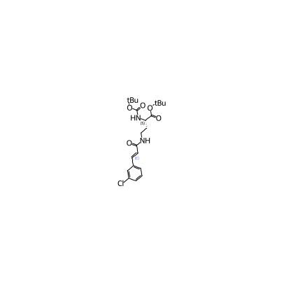 CC(C)(C)OC(=O)N[C@@H](CCNC(=O)/C=C/c1cccc(Cl)c1)C(=O)OC(C)(C)C